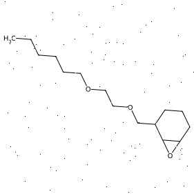 CCCCCCOCCOCC1CCCC2OC12